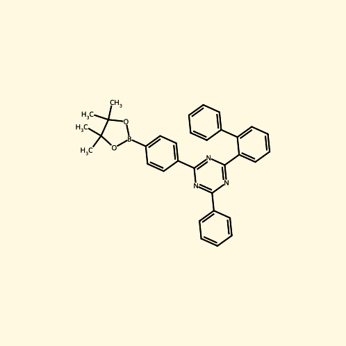 CC1(C)OB(c2ccc(-c3nc(-c4ccccc4)nc(-c4ccccc4-c4ccccc4)n3)cc2)OC1(C)C